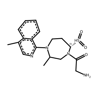 Cc1cnc(N2CC[C@H]([SH](=O)=O)N(C(=O)CN)CC2C)c2ccccc12